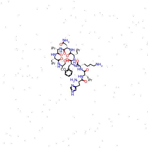 CC(C)C[C@H](NC(=O)[C@H](Cc1ccccc1)NC(=O)[C@H](CCCCN)NC(=O)[C@H](CC(C)C)NC(=O)[C@@H](N)Cc1c[nH]cn1)C(=O)N[C@@H](CC(N)=O)C(=O)N[C@H](C(=O)N[C@@H](CC(C)C)C(=O)N[C@@H](CO)C(=O)O)C(C)C